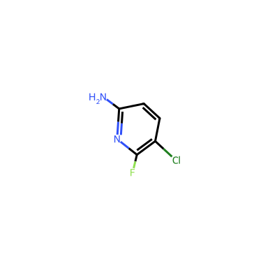 Nc1ccc(Cl)c(F)n1